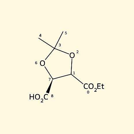 CCOC(=O)C1OC(C)(C)O[C@@H]1C(=O)O